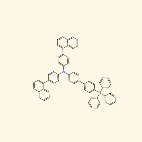 c1ccc([Si](c2ccccc2)(c2ccccc2)c2ccc(-c3ccc(N(c4ccc(-c5cccc6ccccc56)cc4)c4ccc(-c5cccc6ccccc56)cc4)cc3)cc2)cc1